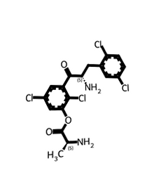 C[C@H](N)C(=O)Oc1cc(Cl)cc(C(=O)[C@@H](N)Cc2cc(Cl)ccc2Cl)c1Cl